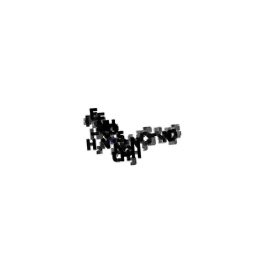 CCN1C(=O)[C@@H](CNc2ccc(CCN3CCCC3)cc2)S/C1=C(/N)C(=O)NNCC(F)(F)F